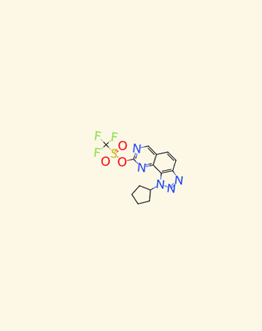 O=S(=O)(Oc1ncc2ccc3nnn(C4CCCC4)c3c2n1)C(F)(F)F